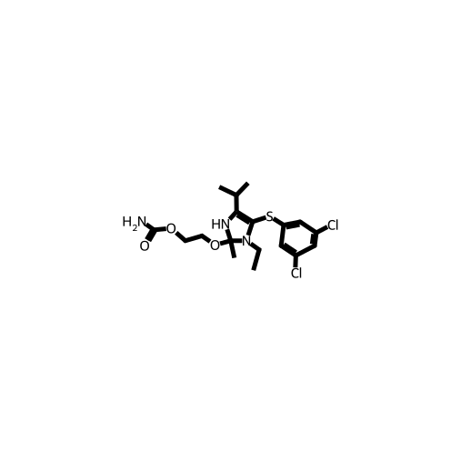 CCN1C(Sc2cc(Cl)cc(Cl)c2)=C(C(C)C)NC1(C)OCCOC(N)=O